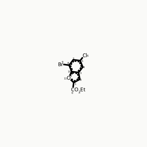 CCOC(=O)c1cc2cc(Cl)cc(Br)c2o1